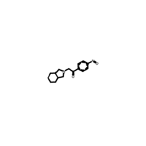 O=Nc1ccc(C(=O)CN2CC3CCCCC3C2)cc1